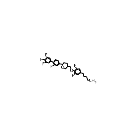 CCCCCc1cc(F)c(OCC2CCC(c3ccc(-c4cc(F)c(F)c(F)c4)c(F)c3)OC2)c(F)c1